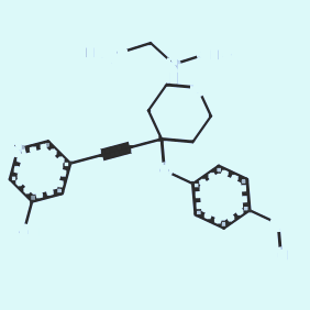 O=CNCC(=O)O.Oc1cncc(C#CC2(Oc3ccc(OC(F)(F)F)cc3)CCOCC2)c1